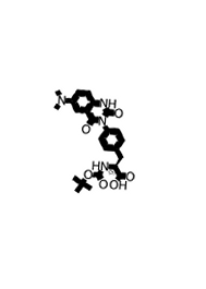 CN(C)c1ccc2[nH]c(=O)n(-c3ccc(C[C@H](NC(=O)OC(C)(C)C)C(=O)O)cc3)c(=O)c2c1